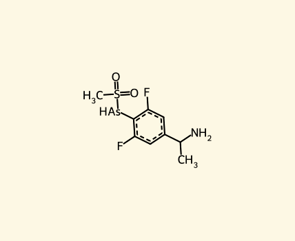 CC(N)c1cc(F)c([AsH]S(C)(=O)=O)c(F)c1